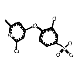 Cc1cc(Oc2ccc(S(=O)(=O)Cl)cc2Cl)cc(Cl)n1